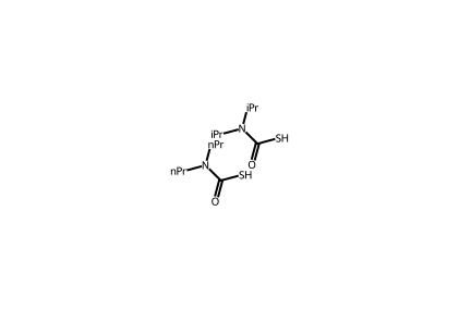 CC(C)N(C(=O)S)C(C)C.CCCN(CCC)C(=O)S